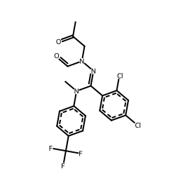 CC(=O)CN(C=O)/N=C(/c1ccc(Cl)cc1Cl)N(C)c1ccc(C(F)(F)F)cc1